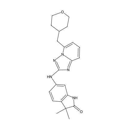 CC1(C)C(=O)Nc2cc(Nc3nc4cccc(CC5CCOCC5)n4n3)ccc21